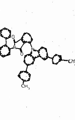 Cc1ccc(-c2ccc3c(c2)c2cc(-c4ccc(C)cc4)ccc2n3-c2cccc3c2C(=O)N(c2ccccc2-c2ccccc2)C3=O)cc1